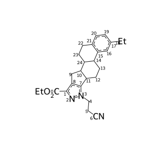 CCOC(=O)c1nn(CCC#N)c2c1CC1C2CCC2c3cc(CC)ccc3CCC21